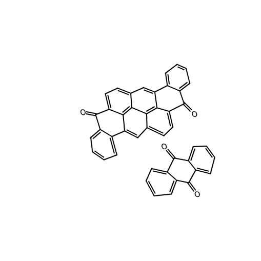 O=C1c2ccccc2C(=O)c2ccccc21.O=c1c2ccccc2c2cc3ccc4c(=O)c5ccccc5c5cc6ccc1c2c6c3c45